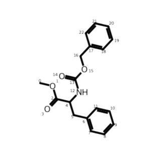 COC(=O)C(Cc1ccccc1)NC(=O)OCc1ccccc1